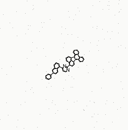 c1ccc(-c2ccc3c(-c4ccnc(-c5ccc6c7c(cccc57)-c5c-6c6ccccc6c6ccccc56)n4)cccc3c2)cc1